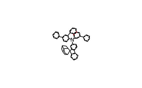 c1ccc(-c2cccc(N(c3ccc4c(c3)C3(c5ccccc5-4)C4CC5CC(C4)CC3C5)c3ccc(-c4ccccc4)cc3-c3ccccc3)c2)cc1